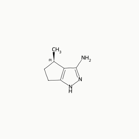 C[C@@H]1CCc2[nH]nc(N)c21